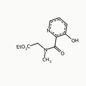 CCOC(=O)CN(C)C(=O)c1ncccc1O